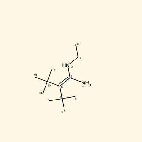 CCNC([SiH3])=C(C(C)(C)C)C(C)(C)C